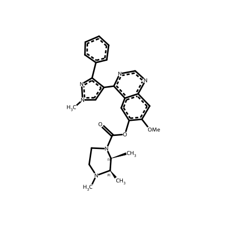 COc1cc2ncnc(-c3cn(C)nc3-c3ccccc3)c2cc1OC(=O)N1CCN(C)[C@H](C)[C@@H]1C